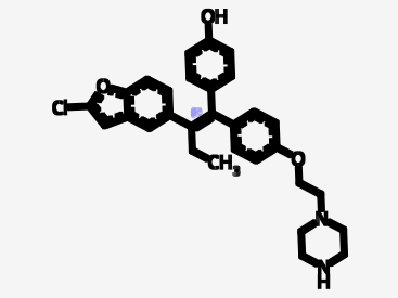 CC/C(=C(/c1ccc(O)cc1)c1ccc(OCCN2CCNCC2)cc1)c1ccc2oc(Cl)cc2c1